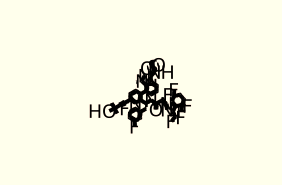 Cn1nc(NS(C)(=O)=O)c2cccc(-c3ccc(C#CC(C)(C)O)nc3[C@H](Cc3cc(F)cc(F)c3)NC(=O)Cn3nc(C(F)F)c4c3C(F)(F)CCC4(F)F)c21